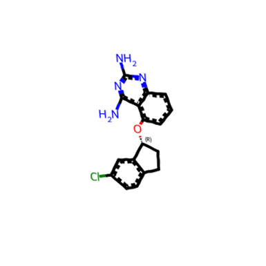 Nc1nc(N)c2c(O[C@@H]3CCc4ccc(Cl)cc43)cccc2n1